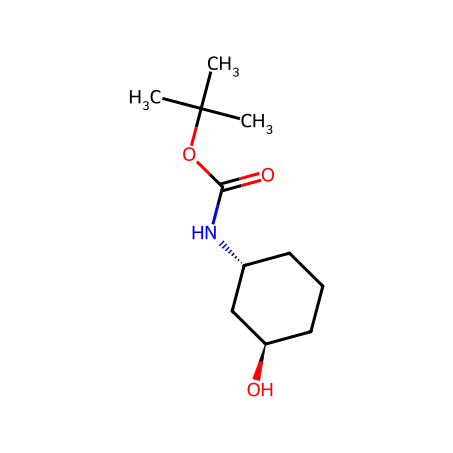 CC(C)(C)OC(=O)N[C@@H]1CCC[C@@H](O)C1